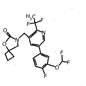 CC(F)(F)c1ncc(-c2ccc(F)c(OC(F)F)c2)cc1CN1CC2(CCC2)OC1=O